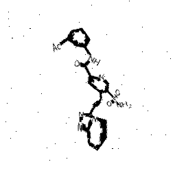 CC(=O)c1cccc(NC(=O)c2cc(C#Cc3nnc4ccccn34)c(S(N)(=O)=O)cn2)c1